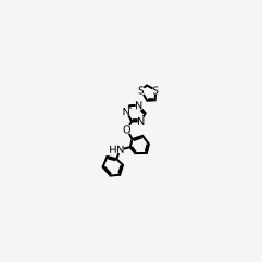 C1=CSCS1.c1ccc(Nc2ccccc2Oc2ncncn2)cc1